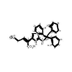 CC(C)(C)C/C=C(\C(=O)O)c1csc(NC(c2ccccc2)(c2ccccc2)c2ccccc2)n1